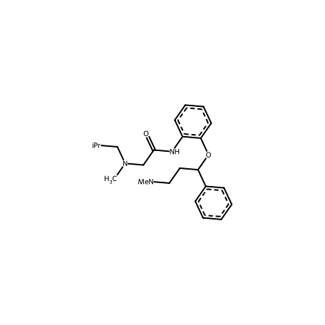 CNCCC(Oc1ccccc1NC(=O)CN(C)CC(C)C)c1ccccc1